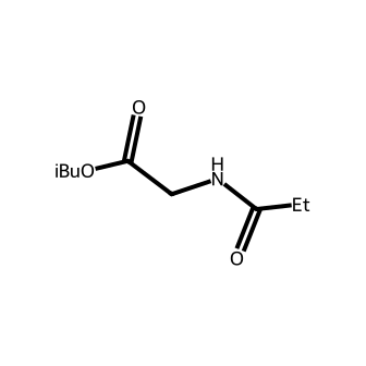 CCC(=O)NCC(=O)OCC(C)C